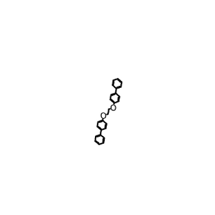 c1ccc(-c2ccc(OCCOc3ccc(-c4ccccc4)cc3)cc2)cc1